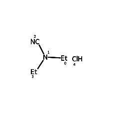 CCN(C#N)CC.Cl